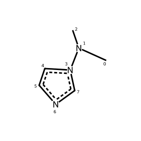 CN(C)n1ccnc1